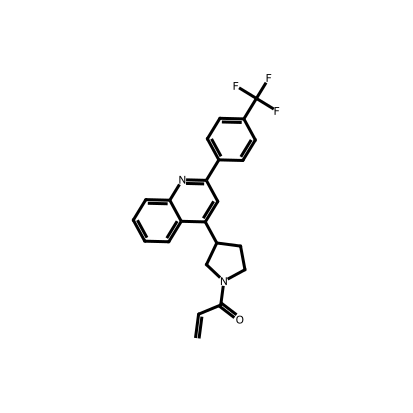 C=CC(=O)N1CCC(c2cc(-c3ccc(C(F)(F)F)cc3)nc3ccccc23)C1